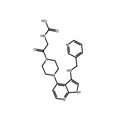 O=C(O)NCC(=O)N1CCN(c2ccnc3[nH]cc(NCc4cccnc4)c23)CC1